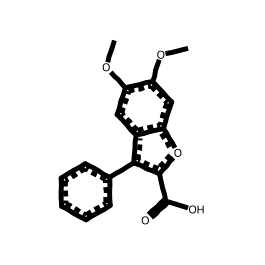 COc1cc2oc(C(=O)O)c(-c3ccccc3)c2cc1OC